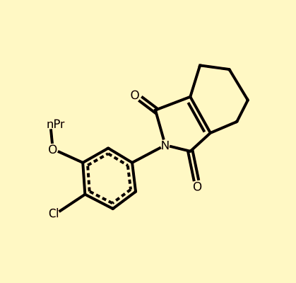 CCCOc1cc(N2C(=O)C3=C(CCCC3)C2=O)ccc1Cl